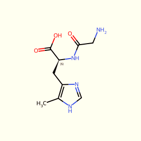 Cc1[nH]cnc1C[C@H](NC(=O)CN)C(=O)O